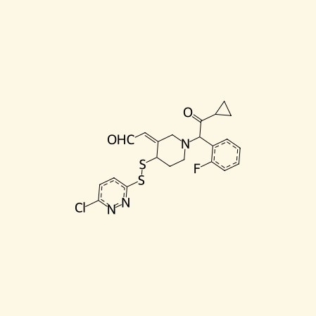 O=C/C=C1/CN(C(C(=O)C2CC2)c2ccccc2F)CCC1SSc1ccc(Cl)nn1